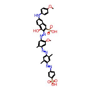 COc1ccc(Nc2ccc3c(O)c(N=Nc4cc(C)c(N=Nc5cc(C)c(N=Nc6ccc(S(=O)(=O)O)cc6)cc5C)cc4OC)c(S(=O)(=O)O)cc3c2)cc1